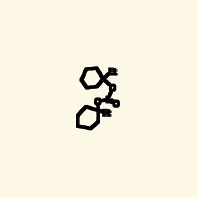 CCC1(OS(=O)OC2(CC)CCCCC2)CCCCC1